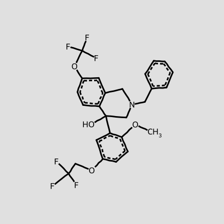 COc1ccc(OCC(F)(F)F)cc1C1(O)CN(Cc2ccccc2)Cc2cc(OC(F)(F)F)ccc21